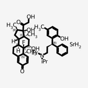 C[C@@H]1C[C@H]2[C@@H]3CCC4=CC(=O)C=C[C@]4(C)[C@@]3(F)[C@@H](O)C[C@]2(C)[C@@]1(O)C(=O)CO.Cc1ccc(O)c([C@H](CCN(C(C)C)C(C)C)c2ccccc2)c1.[SrH2]